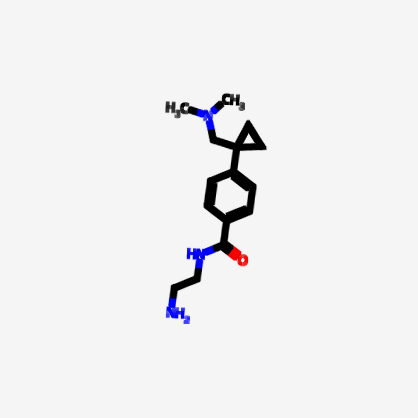 CN(C)CC1(c2ccc(C(=O)NCCN)cc2)CC1